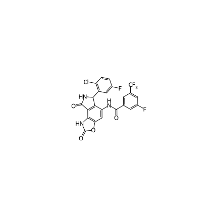 O=C(Nc1cc2oc(=O)[nH]c2c2c1C(c1cc(F)ccc1Cl)NC2=O)c1cc(F)cc(C(F)(F)F)c1